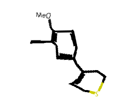 COc1ccc(C2=CCSCC2)cc1C